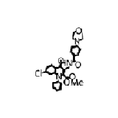 COC(=O)c1c(CNC(=O)c2ccc(N3CCOCC3)cc2)c(=O)c2ccc(Cl)cc2n1-c1ccccc1